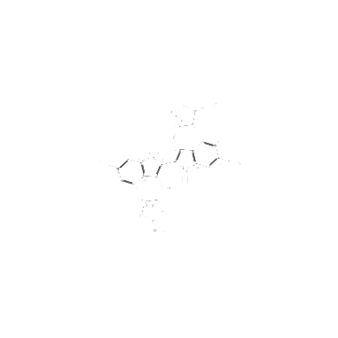 CC(=O)OC1CN[C@H](Cc2c(-c3[nH]c4cc(F)ccc4c3C[C@@H]3C[C@H](OC(C)=O)CN3)[nH]c3cc(F)ccc23)C1